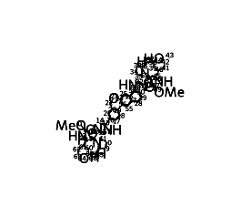 COC(=O)NC1C(=O)N2[C@H](CC[C@H]2c2ncc(-c3ccc4c(c3)COc3cc5c(ccc6nc([C@@H]7CC[C@@H]8C[C@@H]9CC(C[C@@H](C)O9)[C@H](NC(=O)OC)C(=O)N87)[nH]c65)cc3-4)[nH]2)C[C@@H]2C[C@@H]1CCO2